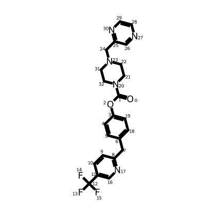 O=C(Oc1ccc(Cc2ccc(C(F)(F)F)cn2)cc1)N1CCN(Cc2cnccn2)CC1